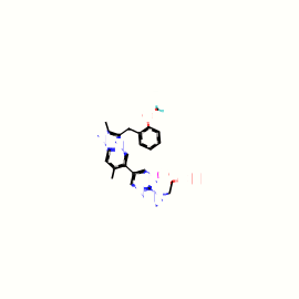 Cc1cc2nc(C)c(Cc3ccccc3OC(F)F)n2cc1-c1cnc(N(C)[C@@H](C)C(=O)O)nc1